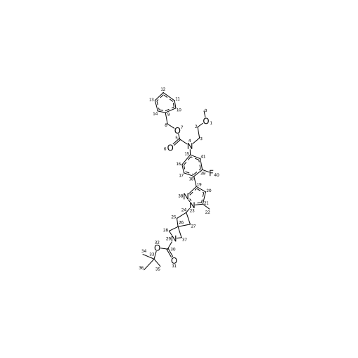 COCCN(C(=O)OCc1ccccc1)c1ccc(-c2cc(C)n(C3CC4(C3)CN(C(=O)OC(C)(C)C)C4)n2)c(F)c1